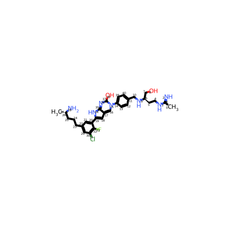 CC(=N)NCC[C@H](CO)NCc1ccc(N2C=c3cc(-c4cc(CCC[C@H](C)N)cc(Cl)c4F)[nH]c3=NC2O)cc1